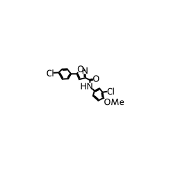 COc1ccc(NC(=O)c2cc(-c3ccc(Cl)cc3)on2)cc1Cl